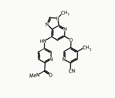 CNC(=O)c1ccc(Nc2cc(Oc3cnc(C#N)cc3C)nc3c2ncn3C)cn1